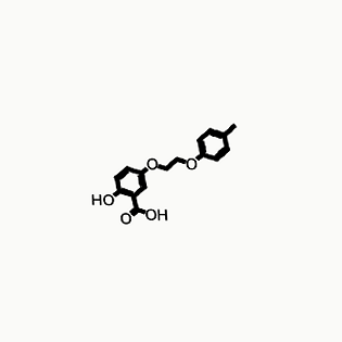 Cc1ccc(OCCOc2ccc(O)c(C(=O)O)c2)cc1